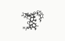 C[C@@H](CN1CCC[C@H]1CF)Oc1nc(N2CC3CCC(C2)N3)c2cc(Cl)c(-c3ccc(F)c4sc(N)nc34)c(F)c2n1